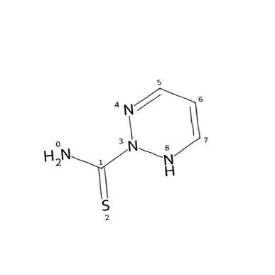 NC(=S)N1N=CC=CN1